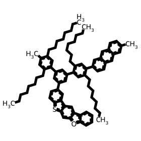 CCCCCCCCc1cc(-c2cc(-c3ccc4sc5cc6oc7ccccc7c6cc5c4c3)cc(-c3cc(CCCCCCCC)c(-c4ccc5cc6cc(C)ccc6cc5c4)cc3CCCCCCCC)c2)c(CCCCCCCC)cc1C